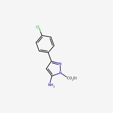 CCOC(=O)n1nc(-c2ccc(Cl)cc2)cc1N